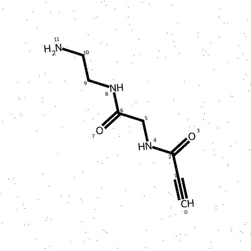 C#CC(=O)NCC(=O)NCCN